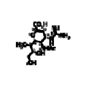 CC(=O)N[C@H]1[C@H]([C@H](C)[C@H](O)CO)OC(C(=O)O)=C[C@@H]1NC(=N)N